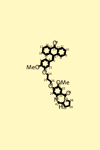 COc1ccc(C=C2c3ccccc3C(=O)c3ccccc32)cc1OCCCOc1cc2c(cc1OC)C(=O)N1CCC[C@H]1C=N2